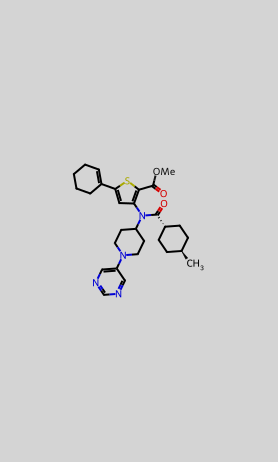 COC(=O)c1sc(C2=CCCCC2)cc1N(C(=O)[C@H]1CC[C@H](C)CC1)C1CCN(c2cncnc2)CC1